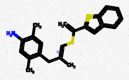 C=C(S/C=C(\C)Cc1cc(C)c(N)cc1C)c1cc2ccccc2s1